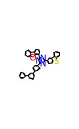 c1ccc(-c2cccc(-c3ccc(-c4nc(-c5ccc6sc7ccccc7c6c5)nc(-c5cccc6c5oc5ccccc56)n4)cc3)c2)cc1